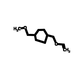 C=COCC1CCC(COC)CC1